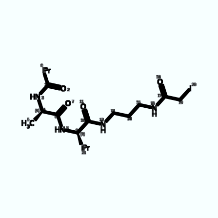 CC(C)C(=O)N[C@H](C)C(=O)N[C@@H](C(=O)NCCCNC(=O)CI)C(C)C